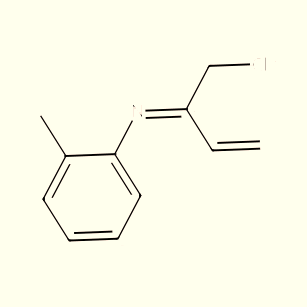 C=C/C(CCl)=N\c1ccccc1C